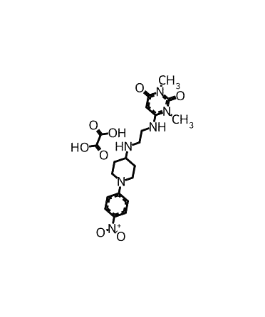 Cn1c(NCCNC2CCN(c3ccc([N+](=O)[O-])cc3)CC2)cc(=O)n(C)c1=O.O=C(O)C(=O)O